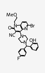 COCCn1c(=O)c(C#N)c(N2CCN(C(c3ccc(F)cc3)c3ccccc3O)CC2)c2nc(Br)ccc21